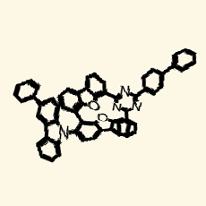 C1=C(c2ccccc2)CCC(c2nc(-c3ccccc3)nc(-c3cccc4c3oc3c(-c5c(-n6c7ccccc7c7cc(-c8ccccc8)ccc76)ccc6c5oc5ccccc56)cccc34)n2)=C1